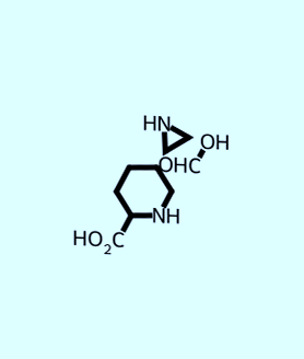 C1CN1.O=C(O)C1CCCCN1.O=CO